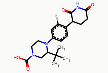 CC(C)(C)C1CN(C(=O)O)CCN1c1ccc(C2CCC(=O)NC2=O)c(F)c1